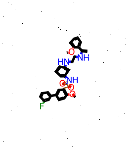 C=C(NCCNc1cccc(NS(=O)(=O)c2cc(-c3cccc(F)c3)ccc2OC)c1)c1ccccc1OC